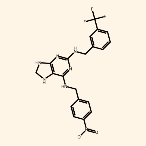 O=[N+]([O-])c1ccc(CNc2nc(NCc3cccc(C(F)(F)F)c3)nc3c2NCN3)cc1